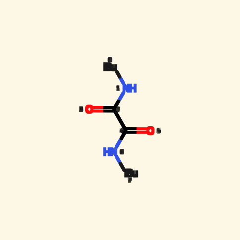 CCC(C)NC(=O)C(=O)NC(C)CC